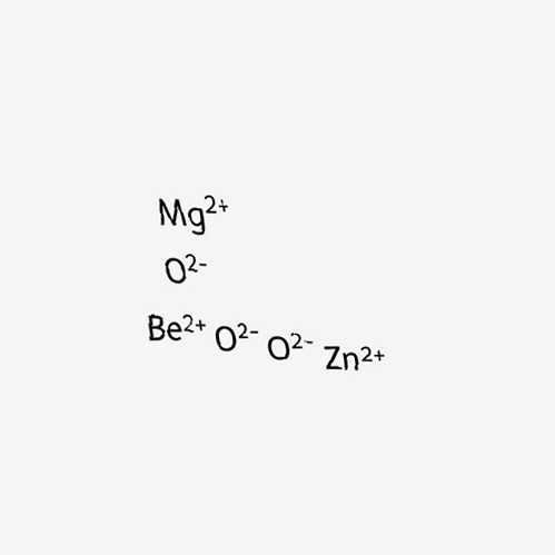 [Be+2].[Mg+2].[O-2].[O-2].[O-2].[Zn+2]